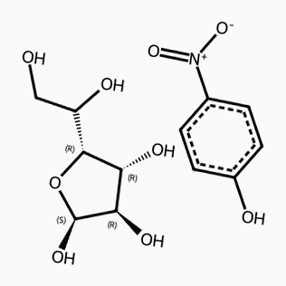 O=[N+]([O-])c1ccc(O)cc1.OCC(O)[C@H]1O[C@H](O)[C@H](O)[C@H]1O